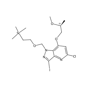 CO[C@@H](C)COc1cc(Cl)nc2c(I)nn(COCC[Si](C)(C)C)c12